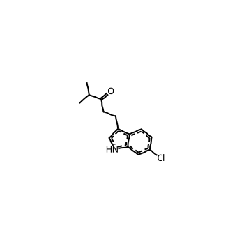 CC(C)C(=O)CCc1c[nH]c2cc(Cl)ccc12